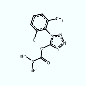 CCCN(CCC)C(=O)Oc1nnnn1-c1c(C)cccc1Cl